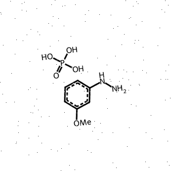 COc1cccc(NN)c1.O=P(O)(O)O